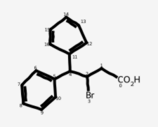 O=C(O)CC(Br)C(c1ccccc1)c1ccccc1